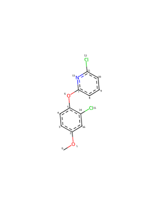 COc1ccc(Oc2cc[c]c(Cl)n2)c(Cl)c1